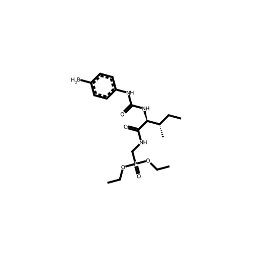 Bc1ccc(NC(=O)N[C@H](C(=O)NCP(=O)(OCC)OCC)[C@@H](C)CC)cc1